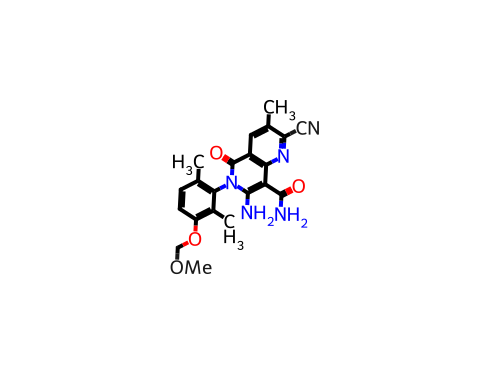 COCOc1ccc(C)c(-n2c(N)c(C(N)=O)c3nc(C#N)c(C)cc3c2=O)c1C